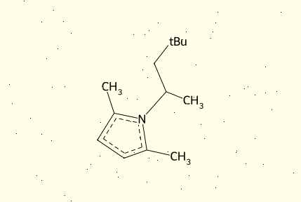 Cc1ccc(C)n1C(C)CC(C)(C)C